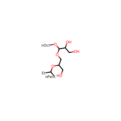 CCCCCCCCOC(OCC(CO)OC(CC)CCCCC)C(O)CO